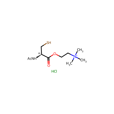 CC(=O)N[C@@H](CS)C(=O)OCC[N+](C)(C)C.Cl